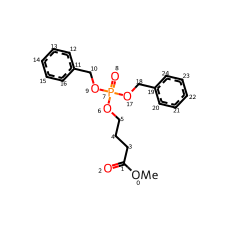 COC(=O)CCCOP(=O)(OCc1ccccc1)OCc1ccccc1